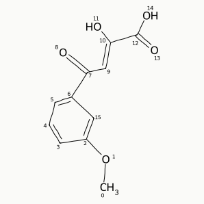 COc1cccc(C(=O)/C=C(\O)C(=O)O)c1